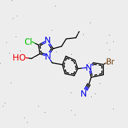 CCCCc1nc(Cl)c(CO)n1Cc1ccc(-n2cc(Br)cc2C#N)cc1